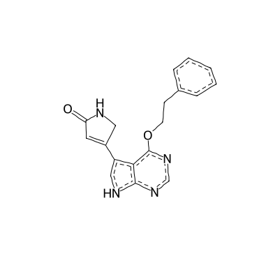 O=C1C=C(c2c[nH]c3ncnc(OCCc4ccccc4)c23)CN1